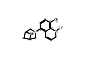 [2H]N1CC=Cc2c(N3CC4CC(C3)N4)ccc(C#N)c21